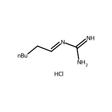 CCCCCC=NC(=N)N.Cl